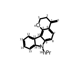 C=C1CCOc2c1ccc1c2c2ccccc2n1CCC